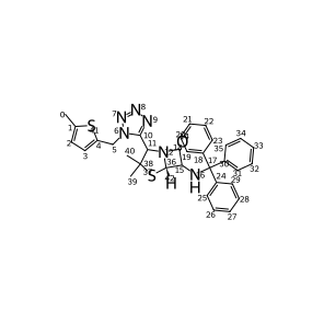 Cc1ccc(Cn2nnnc2C2N3C(=O)C(NC(c4ccccc4)(c4ccccc4)c4ccccc4)[C@@H]3SC2(C)C)s1